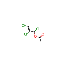 CC(=O)OC(Cl)C(Cl)=CCl